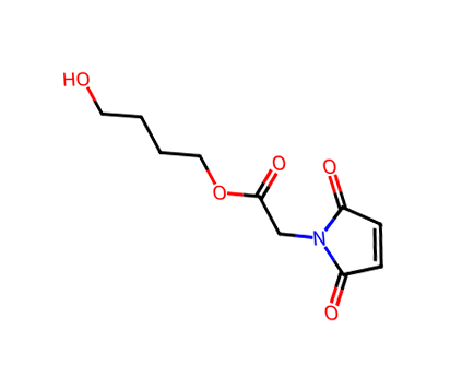 O=C(CN1C(=O)C=CC1=O)OCCCCO